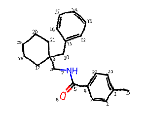 Cc1ccc(C(=O)NCC2(Cc3ccccc3)CCCCC2)cc1